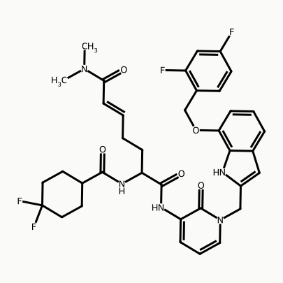 CN(C)C(=O)/C=C/CCC(NC(=O)C1CCC(F)(F)CC1)C(=O)Nc1cccn(Cc2cc3cccc(OCc4ccc(F)cc4F)c3[nH]2)c1=O